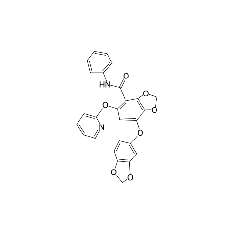 O=C(Nc1ccccc1)c1c(Oc2ccccn2)cc(Oc2ccc3c(c2)OCO3)c2c1OCO2